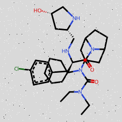 CCN(CC)C(=O)N(C1CCCCC1)C1CC2CCC(C1)N2C(=O)[C@@H](Cc1ccc(Cl)cc1)NC[C@@H]1C[C@H](O)CN1